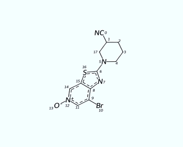 N#CC1CCCN(c2nc3c(Br)c[n+]([O-])cc3s2)C1